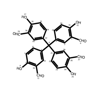 O=Cc1cc(C(c2ccc(O)c(C=O)c2)(c2ccc(O)c(C=O)c2)c2ccc(O)c(C=O)c2)ccc1O